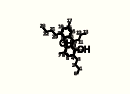 CCCCc1cc(C)cc(C(CCC)c2cc(C)cc(CCCC)c2O)c1O